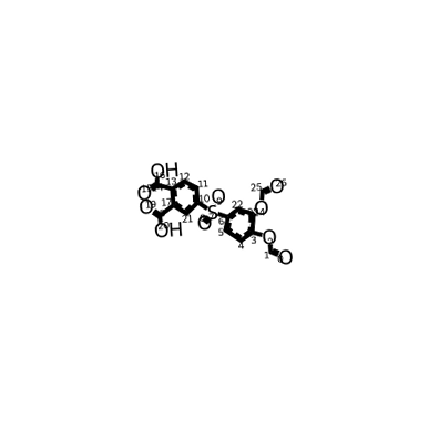 O=COc1ccc(S(=O)(=O)c2ccc(C(=O)O)c(C(=O)O)c2)cc1OC=O